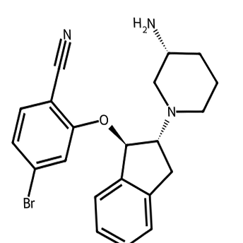 N#Cc1ccc(Br)cc1O[C@@H]1c2ccccc2C[C@H]1N1CCC[C@@H](N)C1